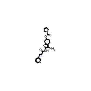 Nc1c(NC(=O)/C=C/c2cccnc2)sc2c1CCC(OC(=O)N1CC=CC1)C2